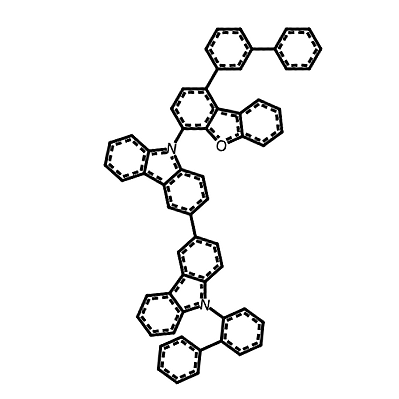 c1ccc(-c2cccc(-c3ccc(-n4c5ccccc5c5cc(-c6ccc7c(c6)c6ccccc6n7-c6ccccc6-c6ccccc6)ccc54)c4oc5ccccc5c34)c2)cc1